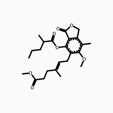 CCCC(C)C(=O)Oc1c(C/C=C(\C)CCC(=O)OC)c(OC)c(C)c2c1C(=O)OC2